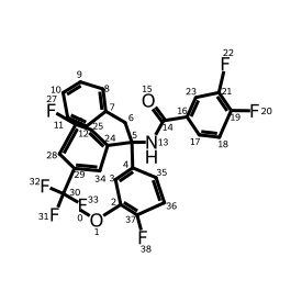 COc1cc(C(Cc2ccccc2)(NC(=O)c2ccc(F)c(F)c2)c2cc(F)cc(C(F)(F)F)c2)ccc1F